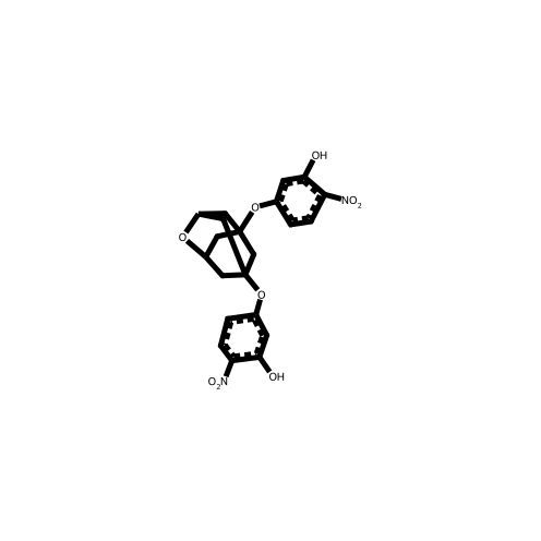 O=[N+]([O-])c1ccc(OC23CC4CC(Oc5ccc([N+](=O)[O-])c(O)c5)(CC(C2)O4)C3)cc1O